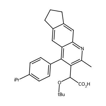 Cc1nc2cc3c(cc2c(-c2ccc(C(C)C)cc2)c1C(OC(C)(C)C)C(=O)O)CCC3